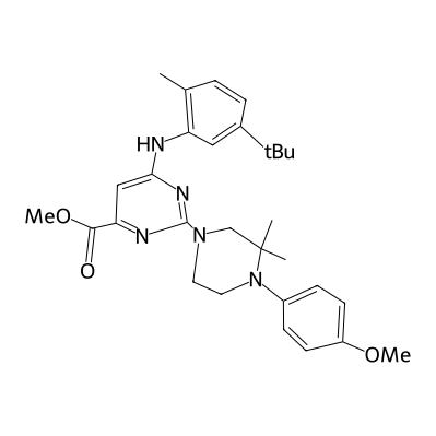 COC(=O)c1cc(Nc2cc(C(C)(C)C)ccc2C)nc(N2CCN(c3ccc(OC)cc3)C(C)(C)C2)n1